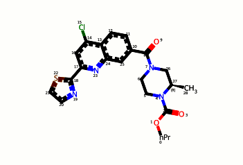 CCCOC(=O)N1CCN(C(=O)c2ccc3c(Cl)cc(-c4nccs4)nc3c2)C[C@H]1C